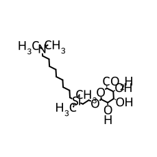 CN(C)CCCCCCCCC[Si](C)(C)CCOC1O[C@H](C(=O)O)[C@H](O)[C@H](O)[C@H]1O